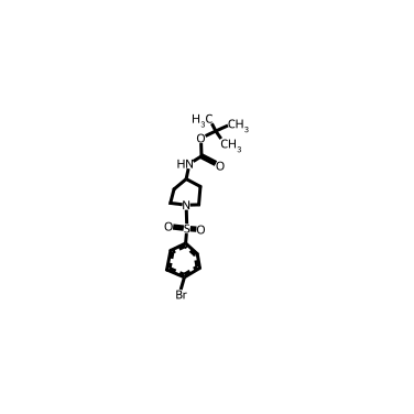 CC(C)(C)OC(=O)NC1CCN(S(=O)(=O)c2ccc(Br)cc2)CC1